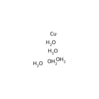 O.O.O.O.O.[Cu]